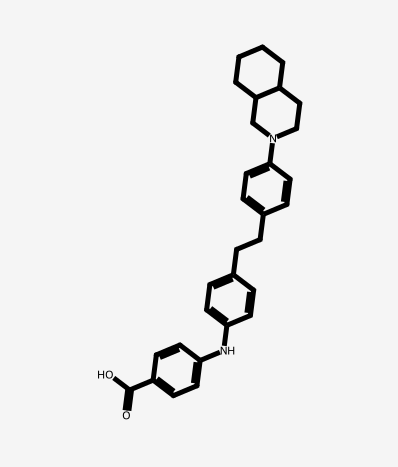 O=C(O)c1ccc(Nc2ccc(CCc3ccc(N4CCC5CCCCC5C4)cc3)cc2)cc1